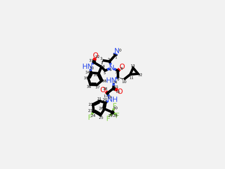 N#CC1C[C@@]2(CN1C(=O)[C@H](CC1CC1)NC(=O)C(=O)Nc1ccc(F)cc1C(F)(F)F)C(=O)Nc1ccccc12